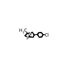 Cc1csc2cc(-c3ccc(Cl)cc3)cn12